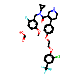 COc1ccc(F)c(CN(C(=O)C2=C(c3ccc(OCCOc4ccc(C(F)(F)F)cc4Cl)cc3)CCNC2)C2CC2)c1.O=CO